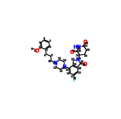 COc1ccccc1CCCN1CCN(c2cc(F)cc3c2CN(C2CCC(=O)NC2=O)C3=O)CC1